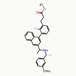 COc1cccc([C@@H](C)NC(C)c2cc(-c3cccc(CCC(=O)OC(C)C)c3F)c3ccccc3c2)c1